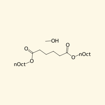 CCCCCCCCOC(=O)CCCCC(=O)OCCCCCCCC.CO